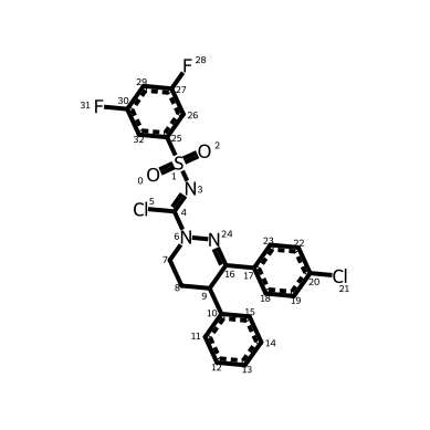 O=S(=O)(N=C(Cl)N1CCC(c2ccccc2)C(c2ccc(Cl)cc2)=N1)c1cc(F)cc(F)c1